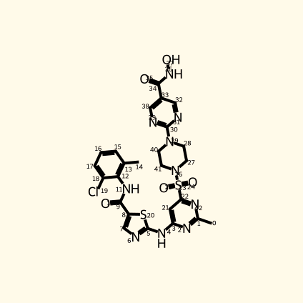 Cc1nc(Nc2ncc(C(=O)Nc3c(C)cccc3Cl)s2)cc(S(=O)(=O)N2CCN(c3ncc(C(=O)NO)cn3)CC2)n1